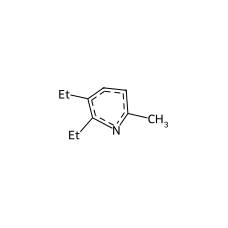 CCc1ccc(C)nc1CC